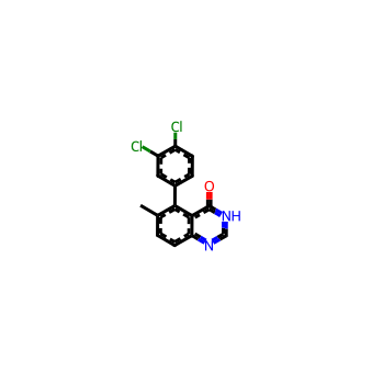 Cc1ccc2nc[nH]c(=O)c2c1-c1ccc(Cl)c(Cl)c1